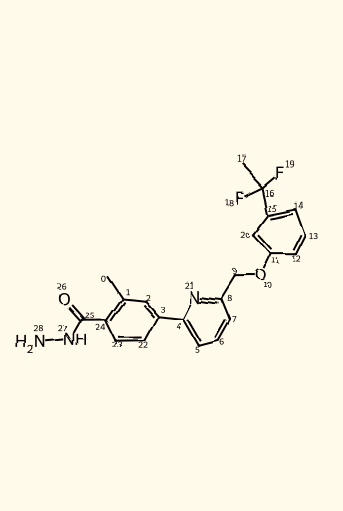 Cc1cc(-c2cccc(COc3cccc(C(C)(F)F)c3)n2)ccc1C(=O)NN